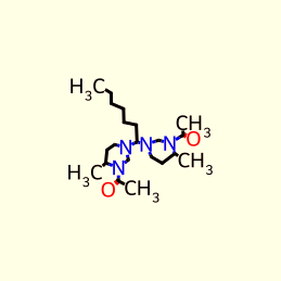 CCCCCCC(N1CCC(C)N(C(C)=O)C1)N1CCC(C)N(C(C)=O)C1